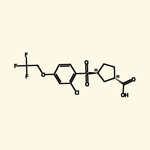 O=C(O)[C@H]1CC[C@H](S(=O)(=O)c2ccc(OCC(F)(F)F)cc2Cl)C1